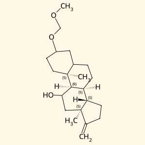 C=C1CC[C@H]2[C@@H]3CCC4CC(OCOC)CC[C@]4(C)[C@@H]3C(O)C[C@]12C